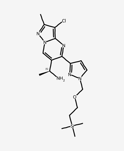 Cc1nn2cc([C@H](C)N)c(-c3ccn(COCC[Si](C)(C)C)n3)nc2c1Cl